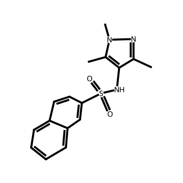 Cc1nn(C)c(C)c1NS(=O)(=O)c1ccc2ccccc2c1